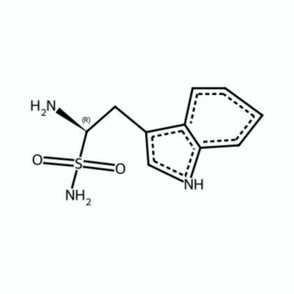 N[C@@H](Cc1c[nH]c2ccccc12)S(N)(=O)=O